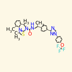 C/C(=C\NC(=O)/N=c1\scc(C)n1-c1c(C)cccc1C)c1ccc(-c2ncn(-c3ccc(OC(F)(F)F)cc3)n2)cc1